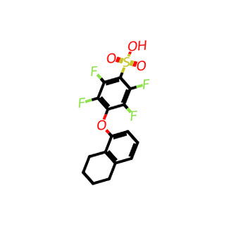 O=S(=O)(O)c1c(F)c(F)c(Oc2cccc3c2CCCC3)c(F)c1F